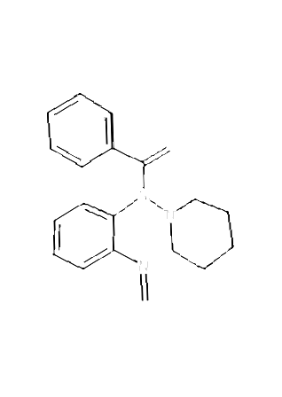 C=Nc1ccccc1N(C(=C)c1ccccc1)N1CCCCC1